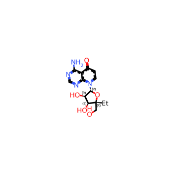 CC[C@]1(CO)O[C@@H](n2ccc(=O)c3c(N)ncnc32)[C@H](O)[C@@H]1O